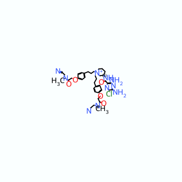 CN(CC#N)C(=O)COc1ccc(CCC[N+]2(CCCc3ccc(OCC(=O)N(C)CC#N)cc3)CCC[C@H](NC(=O)c3nc(Cl)c(N)nc3N)C2)cc1